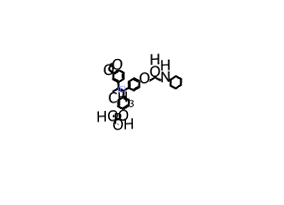 CC/C(=C(/c1ccc(OCC(O)CNC2CCCCC2)cc1)c1ccc(OP(O)O)cc1)c1ccc2c(c1)OCO2